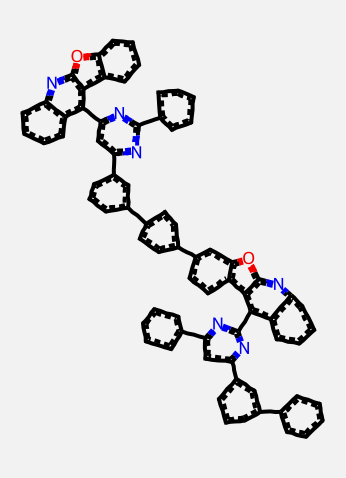 c1ccc(-c2cccc(-c3cc(-c4ccccc4)nc(-c4c5ccccc5nc5oc6cc(-c7ccc(-c8cccc(-c9cc(-c%10c%11ccccc%11nc%11oc%12ccccc%12c%10%11)nc(-c%10ccccc%10)n9)c8)cc7)ccc6c45)n3)c2)cc1